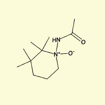 CC(=O)N[N+]1([O-])CCCC(C)(C)C1(C)C